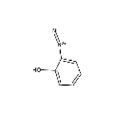 [N-]=[N+2]c1ccccc1O